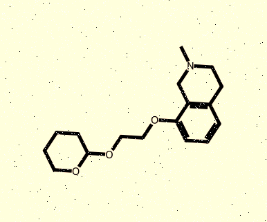 CN1CCc2cccc(OCCOC3CCCCO3)c2C1